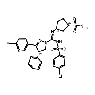 NS(=O)(=O)[C@H]1CC[C@H](/N=C(\NS(=O)(=O)c2ccc(Cl)cc2)N2C[C@H](c3ccccc3)C(c3ccc(F)cc3)=N2)C1